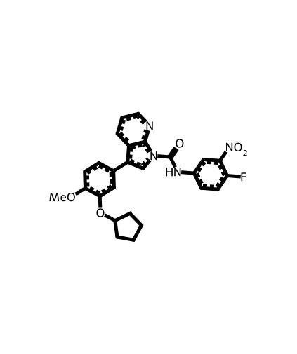 COc1ccc(-c2cn(C(=O)Nc3ccc(F)c([N+](=O)[O-])c3)c3ncccc23)cc1OC1CCCC1